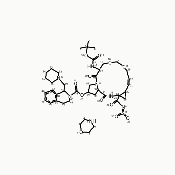 C1COCCN1.CC(C)(C)OC(=O)NC1CCCCCC=CC2CC2(C(=O)N=S(=O)=O)NC(=O)C2CC(OC(=O)N3CCc4ccccc4[C@H]3CN3CCCCC3)CN2C1=O